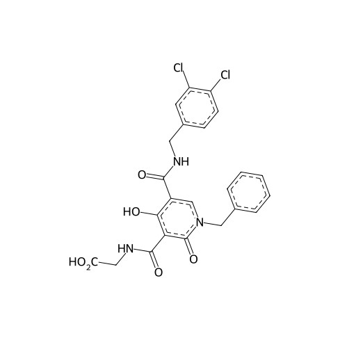 O=C(O)CNC(=O)c1c(O)c(C(=O)NCc2ccc(Cl)c(Cl)c2)cn(Cc2ccccc2)c1=O